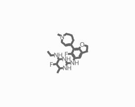 CCNC1NC(Nc2cc3c(c(C4=CCN(C)CCC4)c2F)OCC3)NC(C)C1F